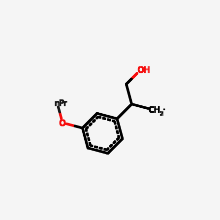 [CH2]C(CO)c1cccc(OCCC)c1